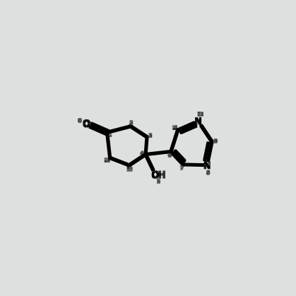 O=C1CCC(O)(c2cncnc2)CC1